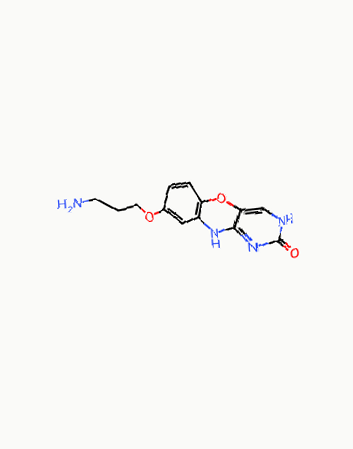 NCCCOc1ccc2c(c1)Nc1nc(=O)[nH]cc1O2